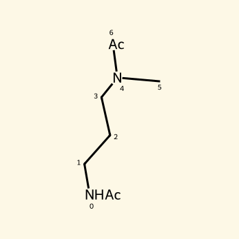 CC(=O)NCCCN(C)C(C)=O